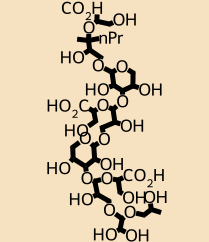 CCCC(C)(OC(CO)C(=O)O)C(O)COC1OCC(O)C(OC(OC(CO)C(=O)O)C(O)COC2OCC(O)C(OC(OC(CO)C(=O)O)C(O)COC(OCC(C)O)C(O)O)C2O)C1O